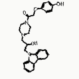 O=C(COc1ccc(O)cc1)N1CCN(CC(O)Cn2c3ccccc3c3ccccc32)CC1